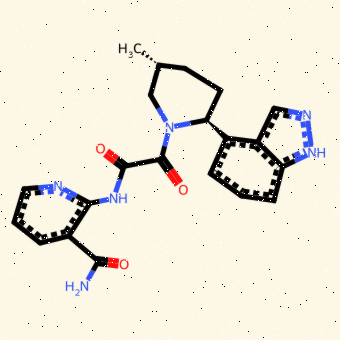 C[C@@H]1CC[C@@H](c2cccc3[nH]ncc23)N(C(=O)C(=O)Nc2ncccc2C(N)=O)C1